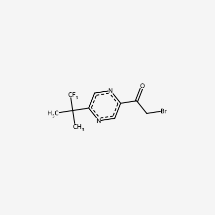 CC(C)(c1cnc(C(=O)CBr)cn1)C(F)(F)F